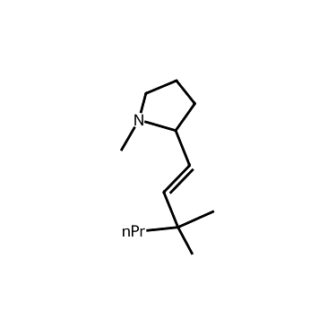 CCCC(C)(C)/C=C/C1CCCN1C